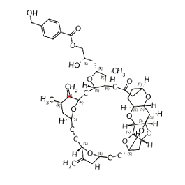 C=C1C[C@@H]2CC[C@@]34C[C@H]5O[C@H]6[C@@H](O3)[C@H]3O[C@H](CC[C@@H]3O[C@H]6[C@H]5O4)CC(=O)C[C@@H]3[C@@H](C)[C@@H](C[C@H](O)COC(=O)c4ccc(CO)cc4)O[C@H]3C[C@H]3O[C@@H](CC[C@@H]1O2)C[C@@H](C)C3=C